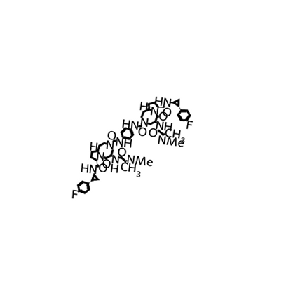 CN[C@@H](C)C(=O)N[C@H]1CN(C(=O)Nc2ccc(NC(=O)N3CC[C@H]4CC[C@@H](C(=O)N[C@H]5C[C@@H]5c5ccc(F)cc5)N4C(=O)[C@H](NC(=O)[C@H](C)NC)C3)cc2)CC[C@H]2CC[C@@H](C(=O)N[C@H]3C[C@@H]3c3ccc(F)cc3)N2C1=O